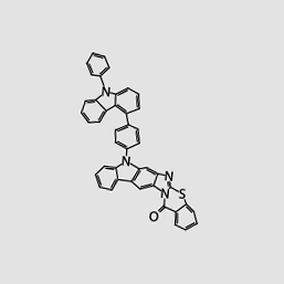 O=c1c2ccccc2sc2nc3cc4c(cc3n12)c1ccccc1n4-c1ccc(-c2cccc3c2c2ccccc2n3-c2ccccc2)cc1